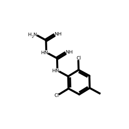 Cc1cc(Cl)c(NC(=N)NC(=N)N)c(Cl)c1